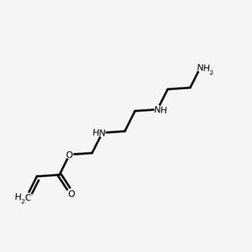 C=CC(=O)OCNCCNCCN